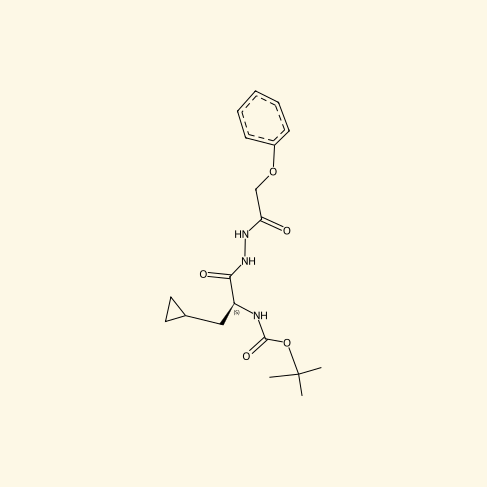 CC(C)(C)OC(=O)N[C@@H](CC1CC1)C(=O)NNC(=O)COc1ccccc1